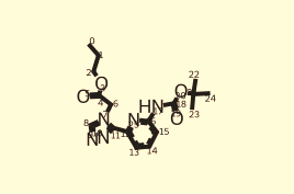 CCCOC(=O)Cn1cnnc1-c1cccc(NC(=O)OC(C)(C)C)n1